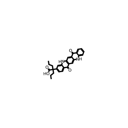 CCCC(CCC)(C(=O)O)c1ccc2c(=O)c3cc4[nH]c5ccccc5c(=O)c4cc3[nH]c2c1